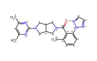 Cc1cc(C)nc(N2CC3CN(C(=O)c4c(-n5nccn5)cccc4[N+](=O)[O-])CC3C2)n1